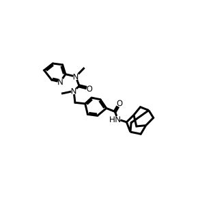 CN(Cc1ccc(C(=O)NC2C3CC4CC(C3)CC2C4)cc1)C(=O)N(C)c1ccccn1